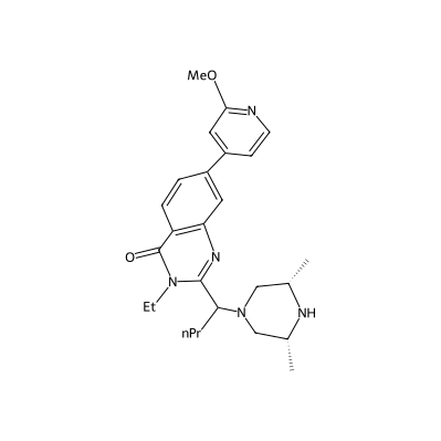 CCCC(c1nc2cc(-c3ccnc(OC)c3)ccc2c(=O)n1CC)N1C[C@@H](C)N[C@@H](C)C1